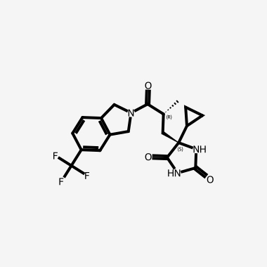 C[C@H](C[C@@]1(C2CC2)NC(=O)NC1=O)C(=O)N1Cc2ccc(C(F)(F)F)cc2C1